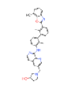 Cc1c(Nc2nccc3cc(CN4CCC(O)C4)cnc23)cccc1-c1cccc(-c2nc3cccc(C#N)c3o2)c1C